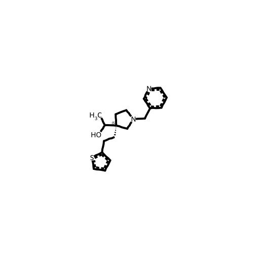 CC(O)[C@@]1(CCc2cccs2)CCN(Cc2cccnc2)C1